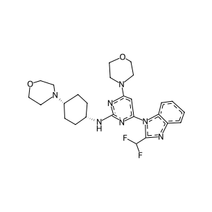 FC(F)c1nc2ccccc2n1-c1cc(N2CCOCC2)nc(N[C@H]2CC[C@@H](N3CCOCC3)CC2)n1